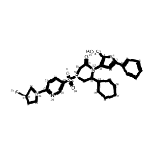 O=C(O)c1sc(-c2ccccc2)cc1N1C(=O)CN(S(=O)(=O)c2ccc(N3CC[C@@H](F)C3)nc2)CC1C1CCCCC1